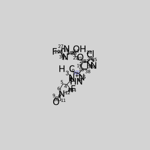 C/C([N+]#CC1CCN(C2COC2)C[C@@H]1F)=C(/N=N)c1cc(OC[C@@H](O)c2ncc(F)cn2)c2c(Cl)cnn2c1